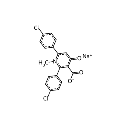 Cn1c(-c2ccc(Cl)cc2)cc(=O)c(C(=O)[O-])c1-c1ccc(Cl)cc1.[Na+]